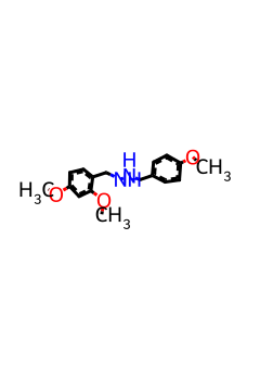 COc1ccc(CNNCc2ccc(OC)cc2OC)cc1